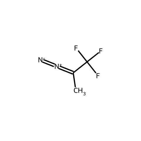 CC(=[N+]=[N-])C(F)(F)F